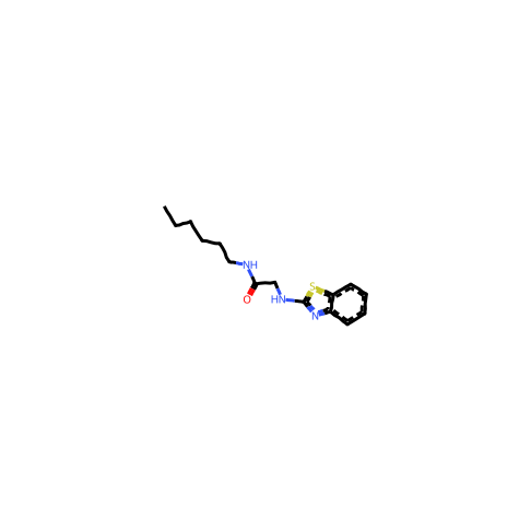 CCCCCCNC(=O)CNc1nc2ccccc2s1